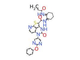 C=CC(=O)N[C@@H]1CCCC[C@H]1NC(=O)c1sc2nccc3c2c1NC(=O)N3c1cnc(Oc2ccccc2)nc1